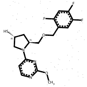 COc1nccc(N2C[C@H](S)C[C@H]2COCc2cc(F)c(F)cc2F)n1